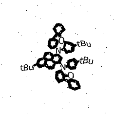 CC(C)(C)c1ccc(N(c2cc(N(c3ccc(C(C)(C)C)cc3)c3cccc4c3oc3ccccc34)c3ccc4cc(C(C)(C)C)cc5ccc2c3c54)c2cccc3c2oc2ccccc23)cc1